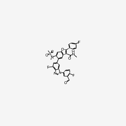 CNC(=O)c1c(-c2ccc(F)cc2)oc2cc(N(C)S(C)(=O)=O)c(-c3cc(F)c4ncn(-c5ccc(F)c(C=O)c5)c4c3)cc12